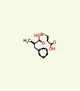 C=C(Cc1ccccc1)C(=O)O.O=C(O)C=CBr